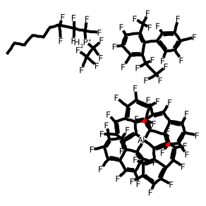 CCCCCCC(F)(F)C(F)(F)C(F)(F)[PH2+]C(F)(F)C(F)(F)F.Fc1c(F)c(F)c(-c2c(C(F)(F)F)c(F)c(F)c(F)c2C(F)(F)C(F)(F)F)c(F)c1F.Fc1c(F)c(F)c2[c]([Al-]([c]3c(F)c(F)c(F)c4c(F)c(F)c(F)c(F)c34)([c]3c(F)c(F)c(F)c4c(F)c(F)c(F)c(F)c34)[c]3c(F)c(F)c(F)c4c(F)c(F)c(F)c(F)c34)c(F)c(F)c(F)c2c1F